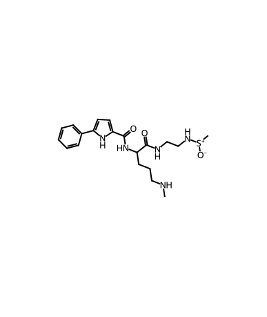 CNCCCC(NC(=O)c1ccc(-c2ccccc2)[nH]1)C(=O)NCCN[S+](C)[O-]